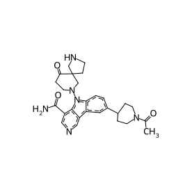 CC(=O)N1CCC(c2ccc3c(c2)c2cncc(C(N)=O)c2n3N2CCC(=O)C3(CCNC3)C2)CC1